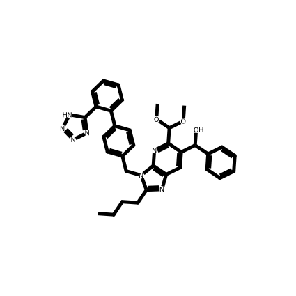 CCCCc1nc2cc(C(O)c3ccccc3)c(C(OC)OC)nc2n1Cc1ccc(-c2ccccc2-c2nnn[nH]2)cc1